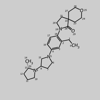 CCc1cc(N2CCC(N3CCC[C@@H]3C)C2)ccc1N1CCC2(CCOCC2)C1=O